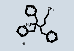 CCCCC(Cc1ccccc1)C(P)(Cc1ccccc1)Cc1ccccc1.I